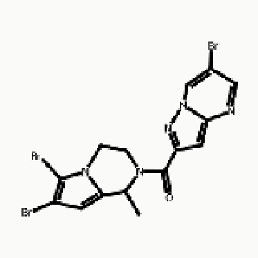 CC1c2cc(Br)c(Br)n2CCN1C(=O)c1cc2ncc(Br)cn2n1